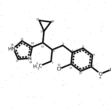 CCC(Cc1ccc(OC)cc1Cl)C(c1c[nH]cn1)C1CC1